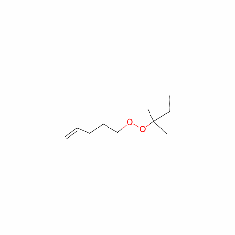 C=CCCCOOC(C)(C)CC